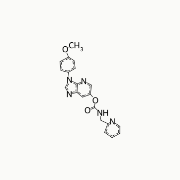 COc1ccc(-n2cnc3cc(OC(=O)NCc4ccccn4)cnc32)cc1